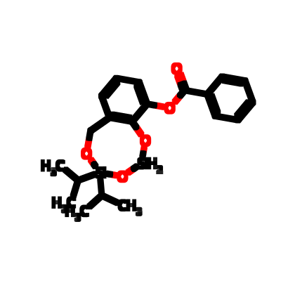 CC(C)[Si]1(C(C)C)OCc2cccc(OC(=O)c3ccccc3)c2O[SiH2]O1